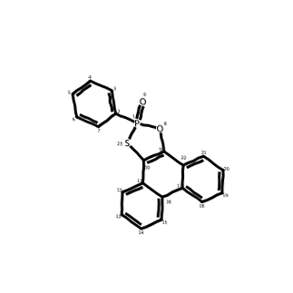 O=P1(c2ccccc2)Oc2c(c3ccccc3c3ccccc23)S1